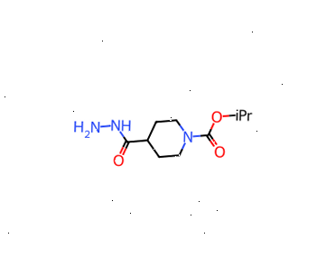 CC(C)OC(=O)N1CCC(C(=O)NN)CC1